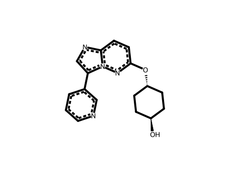 O[C@H]1CC[C@H](Oc2ccc3ncc(-c4cccnc4)n3n2)CC1